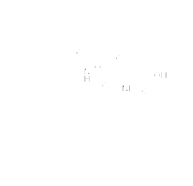 O=C(O)CC(NC(=O)OCc1ccccc1)C(=O)CONC(=O)Cc1cccc2ccccc12